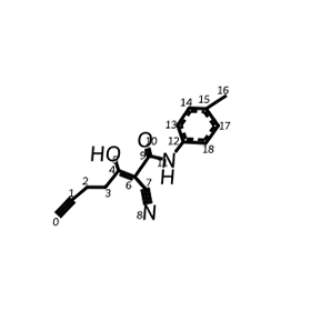 C#CCC/C(O)=C(\C#N)C(=O)Nc1ccc(C)cc1